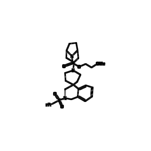 CCCS(=O)(=O)N1Cc2ccccc2C2(CCN(C3CC4CCC(C3)N4C(=O)OCCOC)CC2)C1